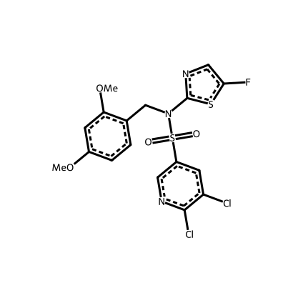 COc1ccc(CN(c2ncc(F)s2)S(=O)(=O)c2cnc(Cl)c(Cl)c2)c(OC)c1